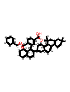 CC1(C)C=CC2=C(C1)CC(C)(C)c1c2ccc2cc(-c3ccc4ccccc4c3-c3cc(C(=O)O)ccc3C(=O)OCc3ccccc3)ccc12